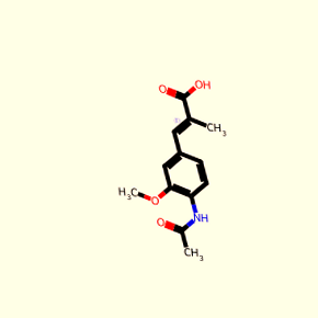 COc1cc(/C=C(\C)C(=O)O)ccc1NC(C)=O